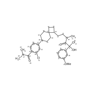 COc1cccc(C(O)(C(=O)N(C)CCC2CCC23CCN(c2ccc(C(=O)N(C)C)c(Cl)c2)CC3)C(F)(F)F)c1